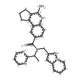 CC(c1ncccn1)N(Cc1cc2ccccn2n1)C(=O)c1ccc2nc(N)c3c(c2c1)CCC3